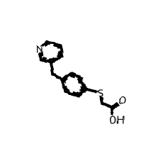 O=C(O)CSc1ccc(Cc2cccnc2)cc1